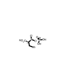 CC(C)C[C@@H](C(=O)O)N(Cl)Cl.O=[PH](O)O